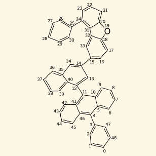 c1ccc(-c2c3ccccc3c(-c3cc(-c4ccc5oc6cccc(-c7ccccc7)c6c5c4)cc4ccccc34)c3ccccc23)cc1